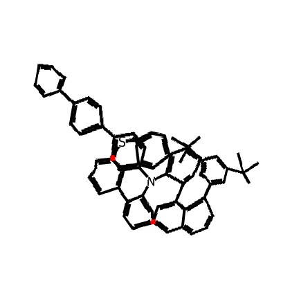 CC(C)(C)c1cc(-c2cccc3cccc(-c4ccccc4N(c4ccc(-c5ccc(-c6ccccc6)cc5)cc4)c4ccccc4-c4cccc5sc6ccccc6c45)c23)cc(C(C)(C)C)c1